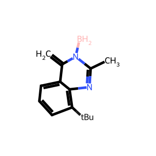 BN1C(=C)c2cccc(C(C)(C)C)c2N=C1C